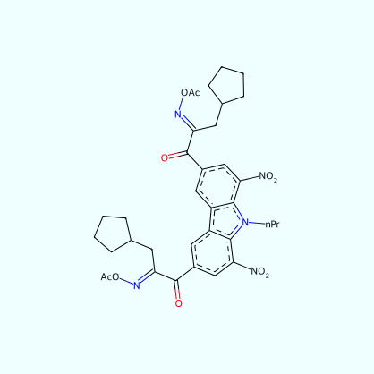 CCCn1c2c([N+](=O)[O-])cc(C(=O)/C(CC3CCCC3)=N/OC(C)=O)cc2c2cc(C(=O)/C(CC3CCCC3)=N/OC(C)=O)cc([N+](=O)[O-])c21